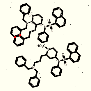 O=C(O)N1CCC(N(c2ccccc2)S(=O)(=O)c2cccc3ccccc23)CC1CCCN(Cc1ccccc1)Cc1ccccc1.O=C(O)N1CC[C@H](N(c2ccccc2)S(=O)(=O)c2cccc3ccccc23)C(CCCc2ccccc2)[C@H]1N(Cc1ccccc1)Cc1ccccc1